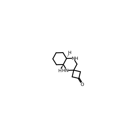 O=C1CC2(CN[C@@H]3CCCC[C@H]3N2)C1